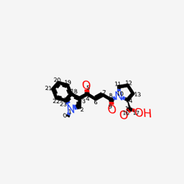 Cn1cc(C(=O)C=CC(=O)N2CCC[C@H]2C(=O)O)c2ccccc21